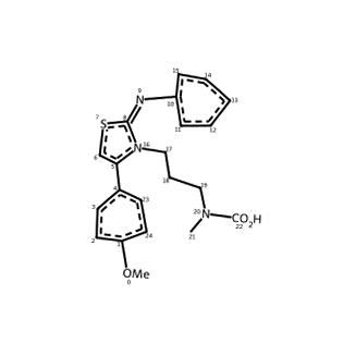 COc1ccc(-c2csc(=Nc3ccccc3)n2CCCN(C)C(=O)O)cc1